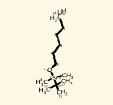 CCCCC[CH]O[Si](C)(C)C(C)(C)C.[LiH]